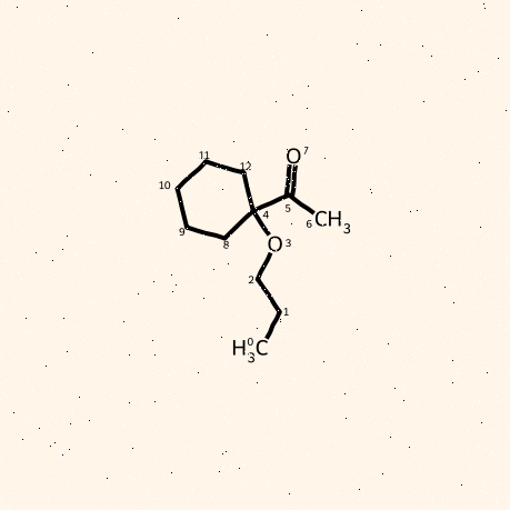 CCCOC1(C(C)=O)CCCCC1